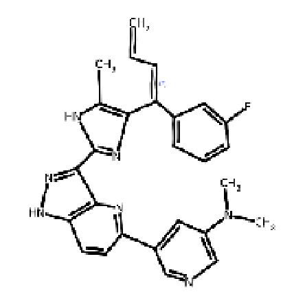 C=C/C=C(/c1cccc(F)c1)c1nc(-c2n[nH]c3ccc(-c4cncc(N(C)C)c4)nc23)[nH]c1C